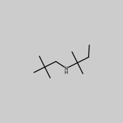 CCC(C)(C)NCC(C)(C)C